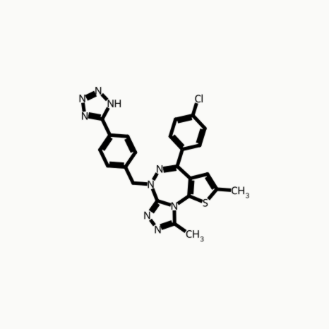 Cc1cc2c(s1)-n1c(C)nnc1N(Cc1ccc(-c3nnn[nH]3)cc1)N=C2c1ccc(Cl)cc1